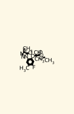 CCOC(=O)C(C)(C)Oc1cc(F)c(C)cc1-n1nnn(C)c1=O